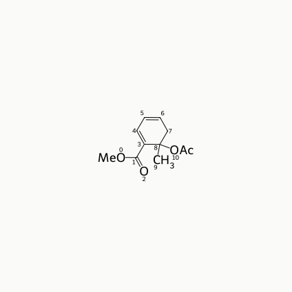 COC(=O)C1=CC=CCC1(C)OC(C)=O